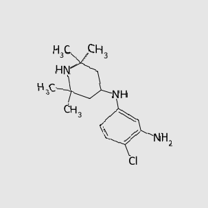 CC1(C)CC(Nc2ccc(Cl)c(N)c2)CC(C)(C)N1